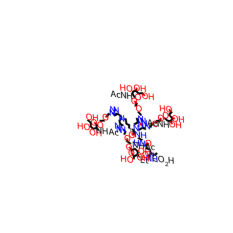 CCNC(=O)/C(CCC(=O)NCCNC(=O)[C@H](CCCCN(Cc1cn(CCOCCOC2OC(CO)C(O)C(O)C2NC(C)=O)nn1)Cc1cn(CCOCCOC2OC(CO)C(O)C(O)C2NC(C)=O)nn1)N(Cc1cn(CCOCCOC2OC(CO)C(O)C(O)C2NC(C)=O)nn1)Cc1cn(CCOCCOC2OC(CO)C(O)C(O)C2NC(C)=O)nn1)=C(/C)C(=O)O